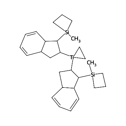 C[Si]1(C2C3C=CC=CC3C[CH]2[Ti]2([CH]3CC4C=CC=CC4C3[Si]3(C)CCC3)[CH2][CH2]2)CCC1